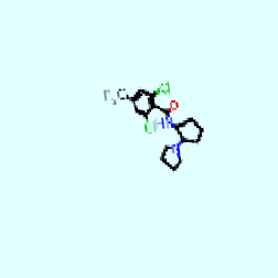 O=C(NC1CCCC1N1CCCC1)c1c(Cl)cc(C(F)(F)F)cc1Cl